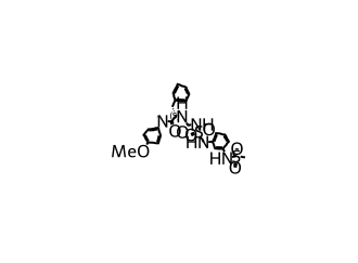 COc1ccc(N(C)C(=O)[C@H](Cc2ccccc2)NC(=O)NS(=O)(=O)Nc2cccc(NS(C)(=O)=O)c2)cc1